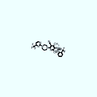 Cc1nc(N2CCCN(c3nccc(C(F)(F)F)n3)CC2)c(C#N)c(C)c1NS(=O)(=O)c1ccccc1C(F)(F)F